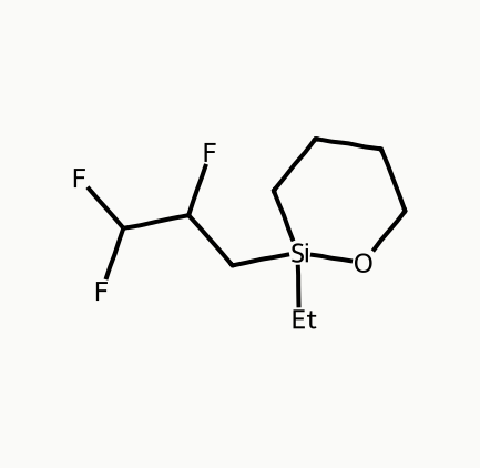 CC[Si]1(CC(F)C(F)F)CCCCO1